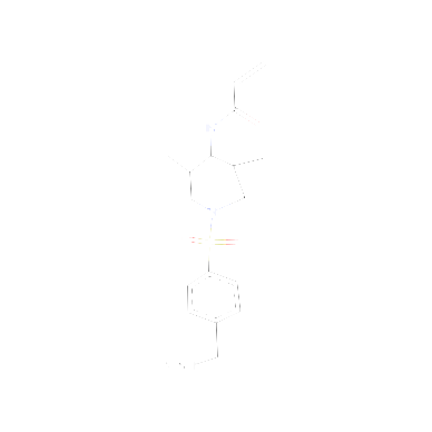 C=CC(=O)NC1C(C)CN(S(=O)(=O)c2ccc(CNC(C)=O)cc2)CC1C